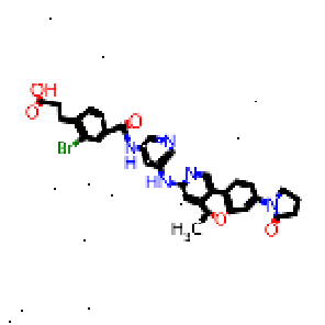 CC1Oc2cc(N3CCCC3=O)ccc2-c2cnc(Nc3cncc(NC(=O)c4ccc(CCC(=O)O)c(Br)c4)c3)cc21